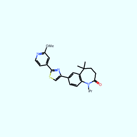 COc1cc(-c2nc(-c3ccc4c(c3)C(C)(C)CCC(=O)N4C(C)C)cs2)ccn1